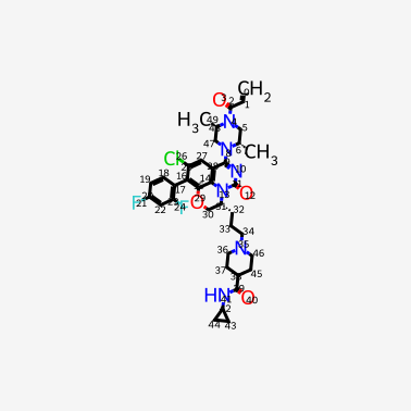 C=CC(=O)N1C[C@H](C)N(c2nc(=O)n3c4c(c(-c5ccc(F)cc5F)c(Cl)cc24)OC[C@H]3CCCN2CCC(C(=O)NC3CC3)CC2)C[C@H]1C